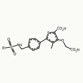 CCS(=O)(=O)NCc1ccc(-c2sc(C(=O)O)c(OCC(=O)O)c2C)cc1